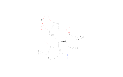 COC(=O)C1=C(C)NC(C)=C(C(=O)OC)C1c1ccc2c(c1)OCO2